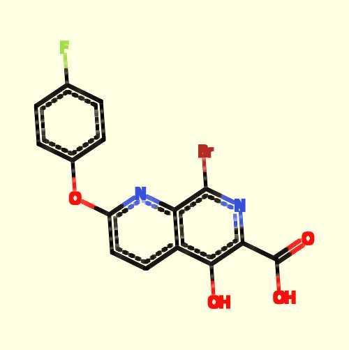 O=C(O)c1nc(Br)c2nc(Oc3ccc(F)cc3)ccc2c1O